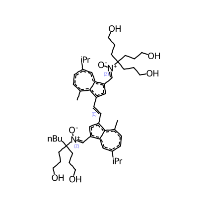 CCCCC(CCCO)(CCCO)/[N+]([O-])=C/c1cc(/C=C/c2cc(/C=[N+](\[O-])C(CCCO)(CCCO)CCCO)c3cc(C(C)C)ccc(C)c2-3)c2c(C)ccc(C(C)C)cc1-2